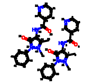 Cc1c(NC(=O)c2cccnc2)c(=O)n(-c2ccccc2)n1C.Cc1c(NC(=O)c2cccnc2)c(=O)n(-c2ccccc2)n1C